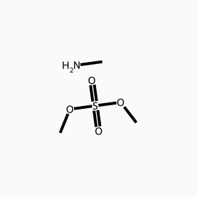 CN.COS(=O)(=O)OC